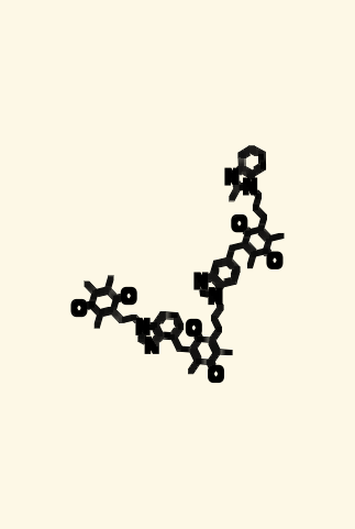 CC1=C(C)C(=O)C(CCn2cnc3c(CC4=C(C)C(=O)C(C)=C(CCCn5cnc6cc(CC7=C(C)C(=O)C(C)=C(CCCn8c(C)nc9ccccc98)C7=O)ccc65)C4=O)cccc32)=C(C)C1=O